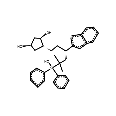 CC(C)(C[C@H](CC[C@@H]1C[C@@H](O)C[C@H]1O)c1cc2ccccc2s1)[Si](O)(c1ccccc1)c1ccccc1